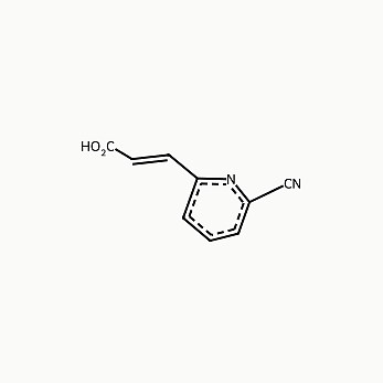 N#Cc1cccc(/C=C/C(=O)O)n1